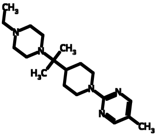 CCN1CCN(C(C)(C)C2CCN(c3ncc(C)cn3)CC2)CC1